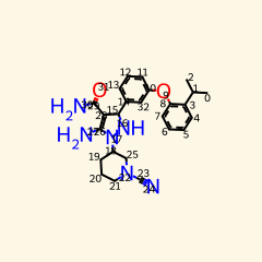 CC(C)c1ccccc1Oc1cccc(C2NN(C3CCCN(C#N)C3)C(N)=C2C(N)=O)c1